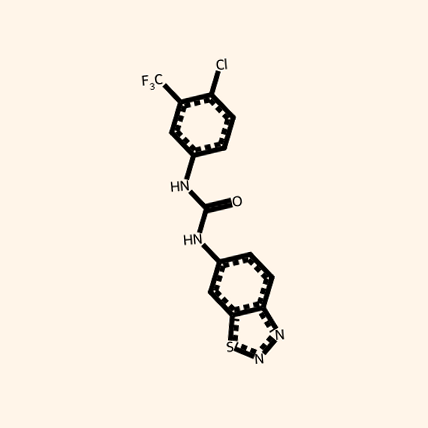 O=C(Nc1ccc(Cl)c(C(F)(F)F)c1)Nc1ccc2nnsc2c1